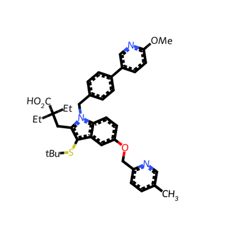 CCC(CC)(Cc1c(SC(C)(C)C)c2cc(OCc3ccc(C)cn3)ccc2n1Cc1ccc(-c2ccc(OC)nc2)cc1)C(=O)O